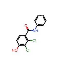 O=C(Nc1ccccc1)c1ccc(O)c(Cl)c1Cl